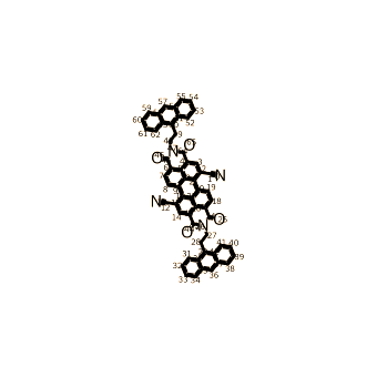 N#Cc1cc2c3c(ccc4c5c(C#N)cc6c7c(ccc(c1c34)c75)C(=O)N(CCc1c3ccccc3cc3ccccc13)C6=O)C(=O)N(CCc1c3ccccc3cc3ccccc13)C2=O